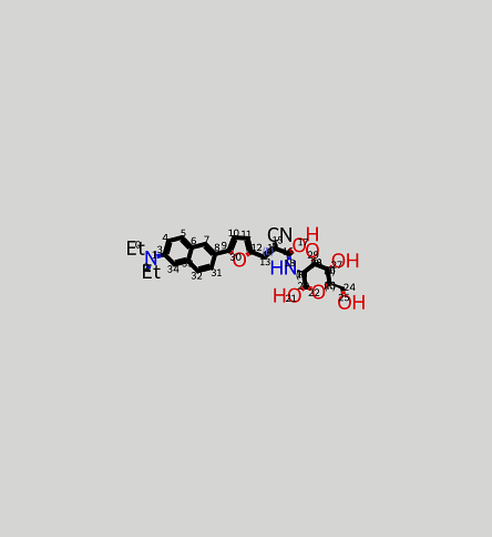 CCN(CC)c1ccc2cc(-c3ccc(/C=C(\C#N)C(=O)N[C@H]4C(O)O[C@H](CO)[C@@H](O)[C@@H]4O)o3)ccc2c1